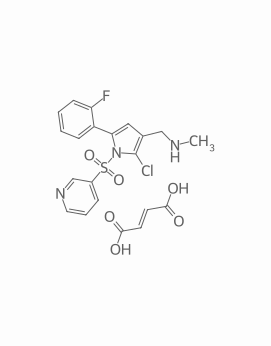 CNCc1cc(-c2ccccc2F)n(S(=O)(=O)c2cccnc2)c1Cl.O=C(O)C=CC(=O)O